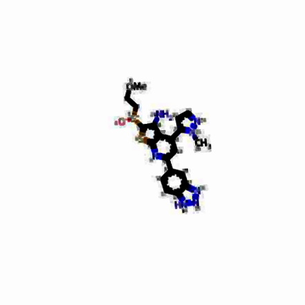 COCC[S+]([O-])c1sc2nc(-c3ccc4[nH]nnc4c3)cc(-c3ccnn3C)c2c1N